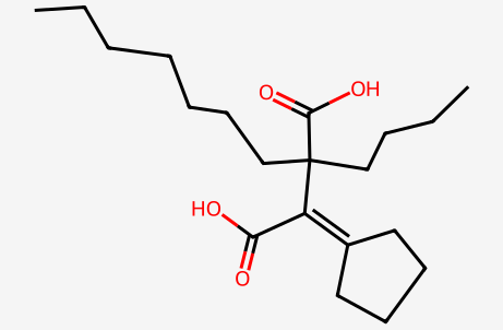 CCCCCCCC(CCCC)(C(=O)O)C(C(=O)O)=C1CCCC1